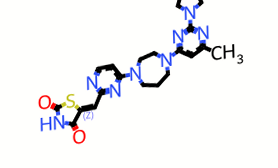 Cc1cc(N2CCCN(c3ccnc(/C=C4\SC(=O)NC4=O)n3)CC2)nc(N2CCCC2)n1